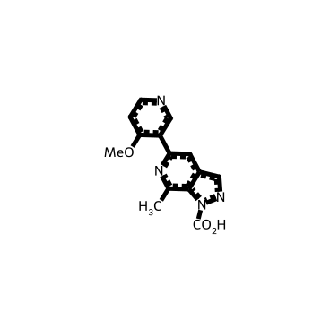 COc1ccncc1-c1cc2cnn(C(=O)O)c2c(C)n1